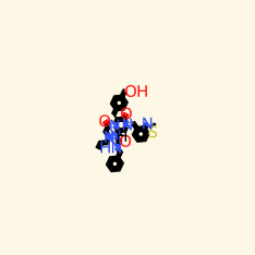 C=CCN1CC(=O)N2[C@@H](Cc3ccc(CO)cc3)C(=O)N(Cc3cccc4scnc34)C[C@@H]2N1C(=O)NCc1ccccc1